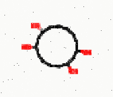 OC1CCCCC[C@@H](O)CC(O)CCCCC(O)C1